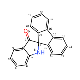 O=C1c2ccccc2NC12c1ccccc1-c1ccccc12